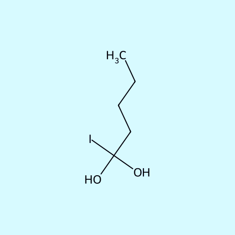 CCCCC(O)(O)I